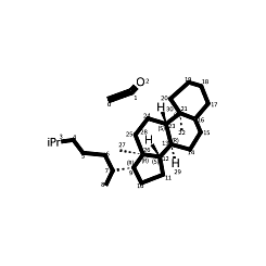 C=C=O.CC(C)CCCC(C)[C@H]1CC[C@H]2[C@@H]3CCC4CCCC[C@]4(C)[C@H]3CC[C@]12C